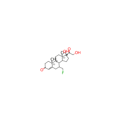 C[C@]12CCC(=O)C=C1CC(CF)C1C2=CC[C@@]2(C)C1CC[C@]2(O)C(=O)CO